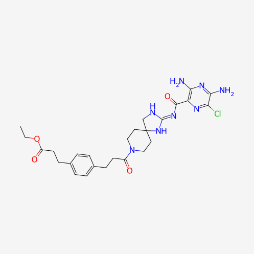 CCOC(=O)CCc1ccc(CCC(=O)N2CCC3(CC2)CN/C(=N\C(=O)c2nc(Cl)c(N)nc2N)N3)cc1